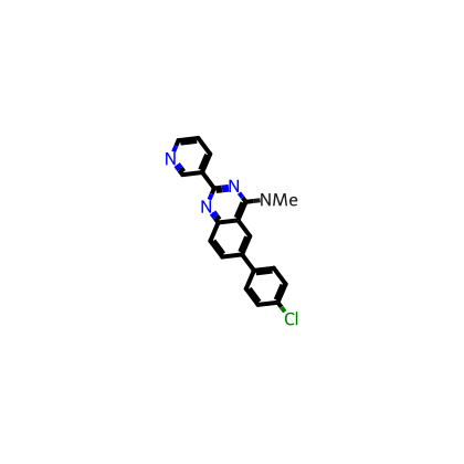 CNc1nc(-c2cccnc2)nc2ccc(-c3ccc(Cl)cc3)cc12